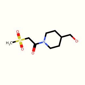 CS(=O)(=O)CC(=O)N1CCC(C[O])CC1